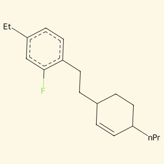 CCCC1C=CC(CCc2ccc(CC)cc2F)CC1